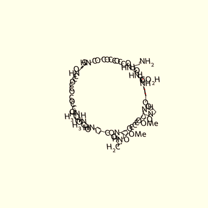 C=C1C[C@H]2CN3C(=O)OCc4ccc(cc4)NC(=O)[C@H](C)NC(=O)[C@H](C)NC(=O)CCOCCOCCOCCNC(=O)C#CC(=O)NCCOCCOCCOCCC(=O)N[C@@H](CCCCN)C(=O)N[C@@H](CC(=O)O)C(=O)Nc4ccc(cc4)COC(=O)N4C[C@@H]5CCCN5C(=O)c5cc(OC)c(cc54)OCCCOc4cc3c(cc4OC)C(=O)N2C1